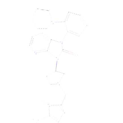 Cn1c(C(=O)O)cnc1CN1CCC(n2c(=O)n(-c3ccccc3N3CCOCC3)c3cccnc32)C1